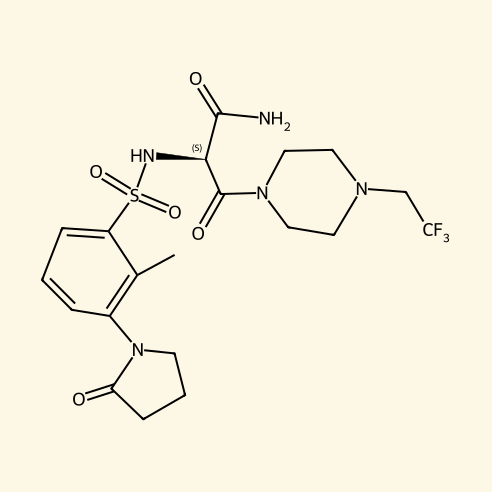 Cc1c(N2CCCC2=O)cccc1S(=O)(=O)N[C@@H](C(N)=O)C(=O)N1CCN(CC(F)(F)F)CC1